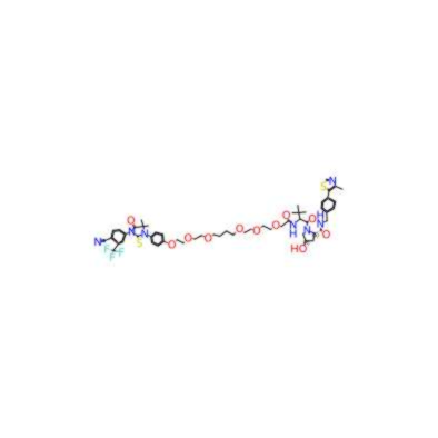 Cc1ncsc1-c1ccc(CNC(=O)[C@@H]2C[C@@H](O)CN2C(=O)C(NC(=O)COCCOCCOCCCCOCCOCCOc2ccc(N3C(=S)N(c4ccc(C#N)c(C(F)(F)F)c4)C(=O)C3(C)C)cc2)C(C)(C)C)cc1